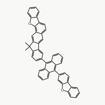 CC1(C)c2ccc(-c3c4ccccc4c(-c4ccc5c(c4)oc4ccccc45)c4ccccc34)cc2-c2cc3ccc4c5ccccc5oc4c3cc21